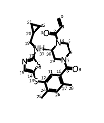 C=CC(=O)N1CCN(C(=O)c2cc(Sc3cnc(NCC4CC4)s3)c(C)cc2C)C[C@H]1C